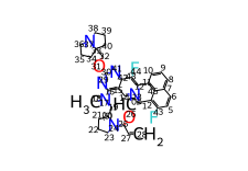 C#Cc1c(F)ccc2cccc(-c3ncc4c(N(C)C[C@@H]5CCCN5C(=O)C=C)nc(OCC56CCCN5CCC6)nc4c3F)c12